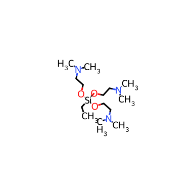 CC[Si](OCCN(C)C)(OCCN(C)C)OCCN(C)C